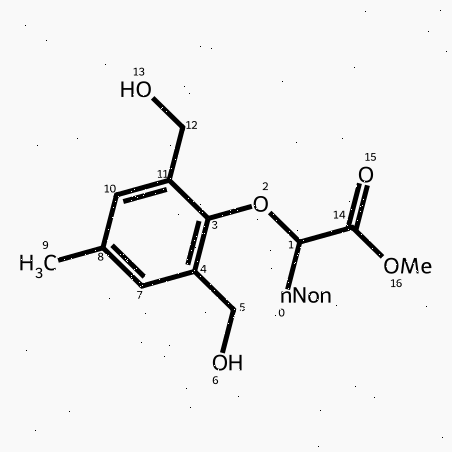 CCCCCCCCCC(Oc1c(CO)cc(C)cc1CO)C(=O)OC